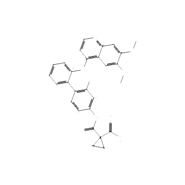 COc1cc2nccc(Oc3ccccc3-c3ccc(NC(=O)C4(C(N)=O)CC4)cc3F)c2cc1OC